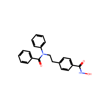 O=C(NO)c1ccc(CCN(C(=O)c2ccccc2)c2ccccc2)cc1